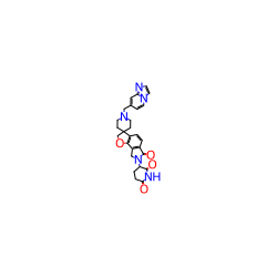 O=C1CCC(N2Cc3c(ccc4c3OCC43CCN(Cc4ccn5ccnc5c4)CC3)C2=O)C(=O)N1